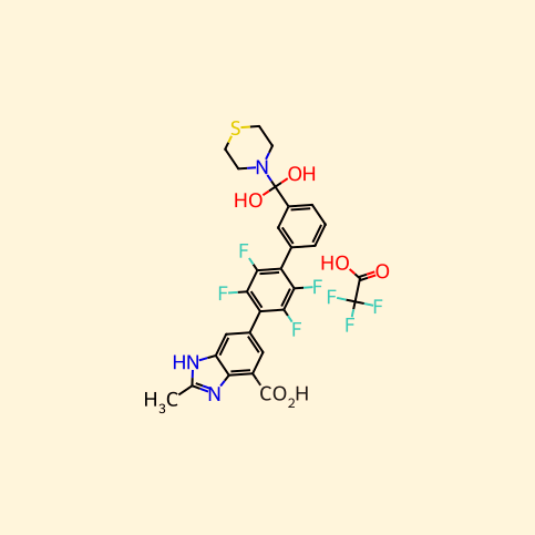 Cc1nc2c(C(=O)O)cc(-c3c(F)c(F)c(-c4cccc(C(O)(O)N5CCSCC5)c4)c(F)c3F)cc2[nH]1.O=C(O)C(F)(F)F